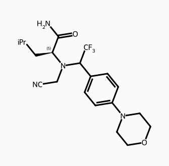 CC(C)C[C@@H](C(N)=O)N(CC#N)C(c1ccc(N2CCOCC2)cc1)C(F)(F)F